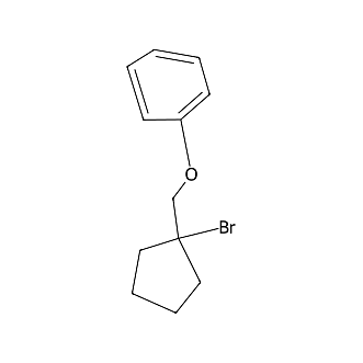 BrC1(COc2ccccc2)CCCC1